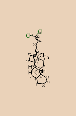 C[C@]12CC[C@H]3[C@@H](CCC4CCCC[C@@]43C)[C@@H]1CC[C@@H]2CCC=C(Cl)Cl